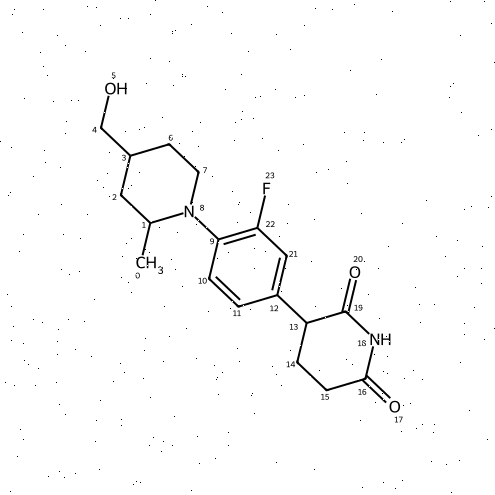 CC1CC(CO)CCN1c1ccc(C2CCC(=O)NC2=O)cc1F